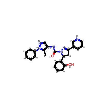 Cc1c(NC(=O)N2N=C(c3cccnc3)CC2c2ccccc2O)cnn1-c1ccccc1